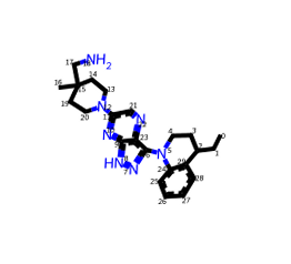 CCC1CCN(c2n[nH]c3nc(N4CCC(C)(CN)CC4)cnc23)c2ccccc21